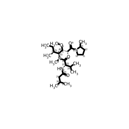 CC[C@H](C)[C@@H]([C@@H](CC(=O)N1CCCC1C)OC)N(C)C(=O)[C@@H](NC(=O)CC(C)C)C(C)C